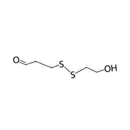 O=CCCSSCCO